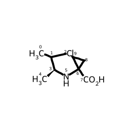 CC(Cl)[C@H](C)NC1(C(=O)O)CC1